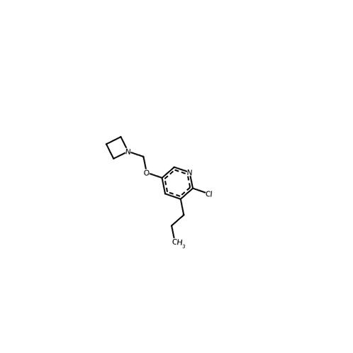 CCCc1cc(OCN2CCC2)cnc1Cl